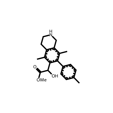 COC(=O)C(O)c1c(C)c2c(c(C)c1-c1ccc(C)cc1)CNCC2